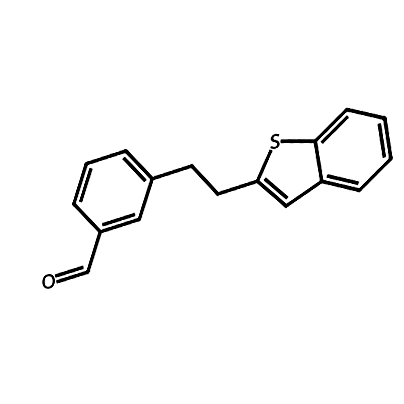 O=Cc1cccc(CCc2cc3ccccc3s2)c1